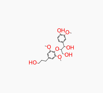 COc1cc(C(O)C(CO)Oc2c(OC)cc(CCCO)cc2OC)ccc1O